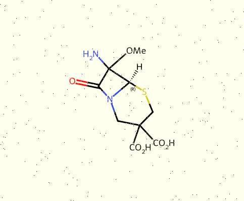 COC1(N)C(=O)N2CC(C(=O)O)(C(=O)O)CS[C@@H]21